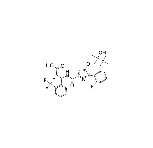 CC(C)(C)C(C)(O)COc1cc(C(=O)NC(CC(=O)O)c2ccccc2C(F)(F)F)nn1-c1ccccc1F